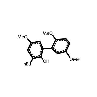 CCCCc1cc(OC)cc(-c2cc(OC)ccc2OC)c1O